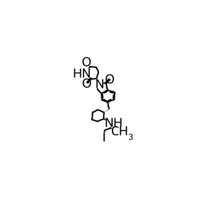 CC(CI)N[C@H]1CCCC[C@@H]1Cc1ccc2c(c1)CN(C1CCC(=O)NC1=O)C2=O